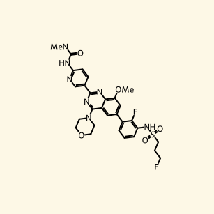 CNC(=O)Nc1ccc(-c2nc(N3CCOCC3)c3cc(-c4cccc(NS(=O)(=O)CCCF)c4F)cc(OC)c3n2)cn1